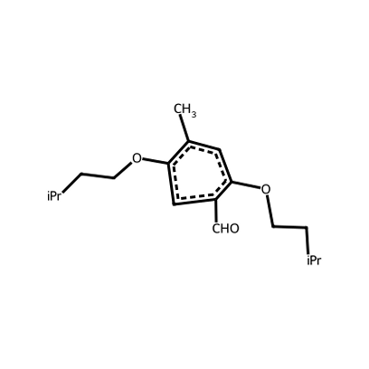 Cc1cc(OCCC(C)C)c(C=O)cc1OCCC(C)C